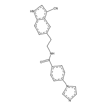 N#Cc1c[nH]c2ccc(CCNC(=O)c3ccc(-n4ccnc4)cc3)cc12